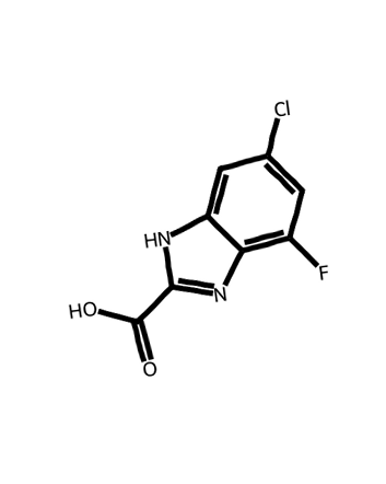 O=C(O)c1nc2c(F)cc(Cl)cc2[nH]1